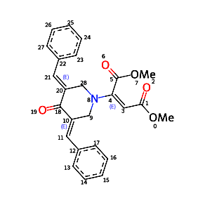 COC(=O)/C=C(\C(=O)OC)N1C/C(=C\c2ccccc2)C(=O)/C(=C/c2ccccc2)C1